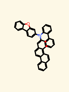 c1ccc(-c2ccccc2N(c2ccc3c(ccc4c5ccccc5ccc34)c2)c2ccc3c(c2)oc2ccccc23)cc1